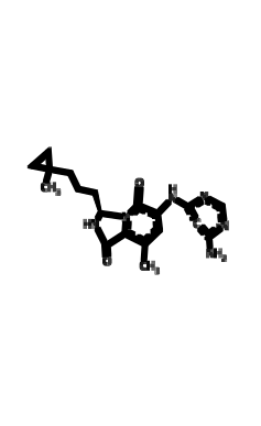 Cc1cc(Nc2cc(N)ncn2)c(=O)n2c1C(=O)N[C@H]2CCCC1(C)CC1